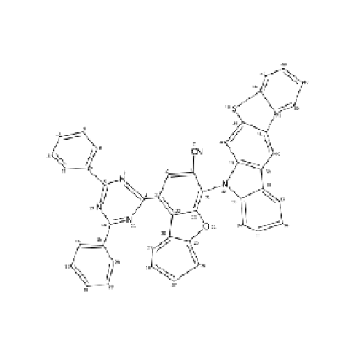 N#Cc1cc(-c2nc(-c3ccccc3)nc(-c3ccccc3)n2)c2c(oc3ccccc32)c1-n1c2ccccc2c2cc3c(cc21)sc1ccccc13